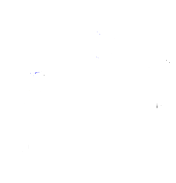 CC(C)Oc1ccc(-c2nc(-c3cccc4c3CC[C@H]4NS(=O)(=O)c3ccc(C(=O)O)cc3)no2)cc1C#N